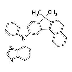 CC1(C)c2cc3c4ccccc4n(-c4cccc5ncsc45)c3cc2-c2c1ccc1ccccc21